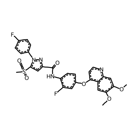 COc1cc2nccc(Oc3ccc(NC(=O)c4cc(S(C)(=O)=O)n(-c5ccc(F)cc5)n4)c(F)c3)c2cc1OC